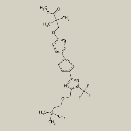 COC(=O)C(C)(C)COc1ccc(-c2ccc(-c3nc(C(F)(F)F)n(COCC[Si](C)(C)C)n3)cn2)cn1